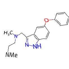 CNCCN(C)Cc1n[nH]c2ccc(Oc3ccccc3)cc12